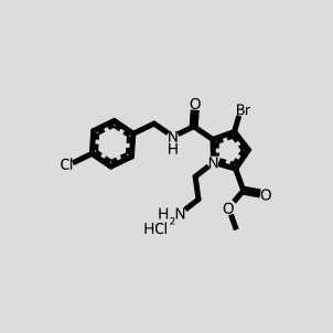 COC(=O)c1cc(Br)c(C(=O)NCc2ccc(Cl)cc2)n1CCN.Cl